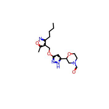 CCCCc1noc(C)c1COc1cc(C2CN(C=O)CCO2)[nH]n1